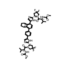 COC(=O)N[C@H](C(=O)N1CC(F)(F)C[C@H]1c1ncc(-c2ccc(-c3ccc(-c4cnc([C@@H]5CC(F)(F)CN5C(=O)[C@@H](NC(=O)OC)C(C)C)[nH]4)c4c3C3CCC4O3)cc2)[nH]1)C(C)C